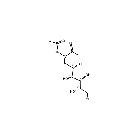 CC(=O)NN(C[C@@H](O)[C@H](O)[C@@H](O)[C@@H](O)CO)C(C)=O